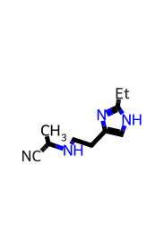 CCc1nc(CCNC(C)C#N)c[nH]1